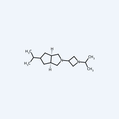 CC(C)C1C[C@@H]2CN(C3CN(C(C)C)C3)C[C@@H]2C1